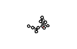 CC1(c2ccccc2N(c2cccc(-c3ccc4c(c3)c3ccccc3n4-c3ccc(-c4ccccc4)cc3)c2)c2cccc3c2oc2ccccc23)c2ccccc2-c2ccccc21